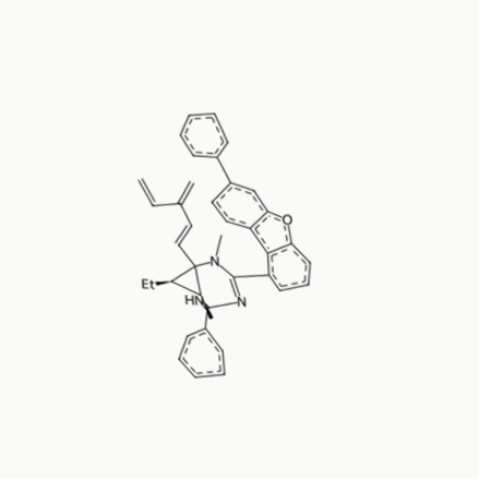 C=CC(=C)C=CC1(N(C)/C(=N\C(=N)c2ccccc2)c2cccc3oc4cc(-c5ccccc5)ccc4c23)[C@H](CC)[C@@H]1C